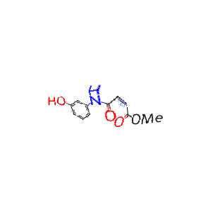 COC(=O)/C=C\C(=O)Nc1cccc(O)c1